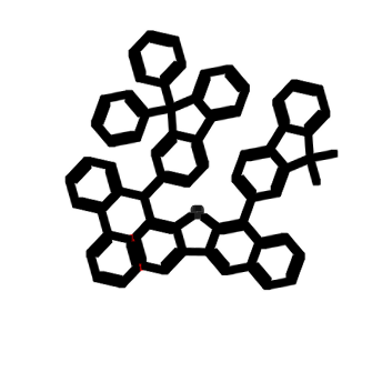 CC1(C)c2ccccc2-c2ccc(-c3c4ccccc4cc4c3oc3c(C(c5ccc6c(c5)C(c5ccccc5)(c5ccccc5)c5ccccc5-6)c5ccccc5-c5ccccc5)cccc34)cc21